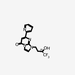 O=c1cc(-c2ccccn2)nc2n(CC[C@@H](O)C(F)(F)F)ccn12